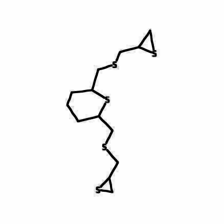 C1CC(CSCC2CS2)SC(CSCC2CS2)C1